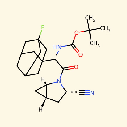 CC(C)(C)OC(=O)N[C@H](C(=O)N1[C@H](C#N)C[C@@H]2C[C@@H]21)C12CC3CC(CC(F)(C3)C1)C2